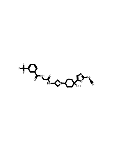 N#CNc1ncc(C2(O)CCC(N3CC(NC(=O)CNC(=O)c4cccc(C(F)(F)F)c4)C3)CC2)s1